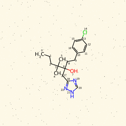 CCCC(C)(C)C(O)(CCc1ccc(Cl)cc1)Cc1nc[nH]n1